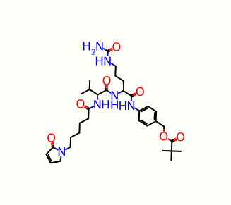 CC(C)[C@H](NC(=O)CCCCCN1CC=CC1=O)C(=O)N[C@@H](CCCNC(N)=O)C(=O)Nc1ccc(COC(=O)C(C)(C)C)cc1